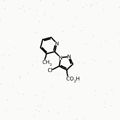 Cc1cccnc1-n1ncc(C(=O)O)c1Cl